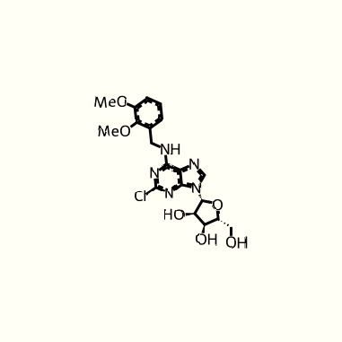 COc1cccc(CNc2nc(Cl)nc3c2ncn3[C@@H]2O[C@H](CO)[C@@H](O)[C@H]2O)c1OC